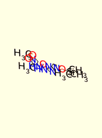 CC1CN(S(C)(=O)=O)CCC1NC(=O)Nc1cnc2c(ccn2COCC[Si](C)(C)C)n1